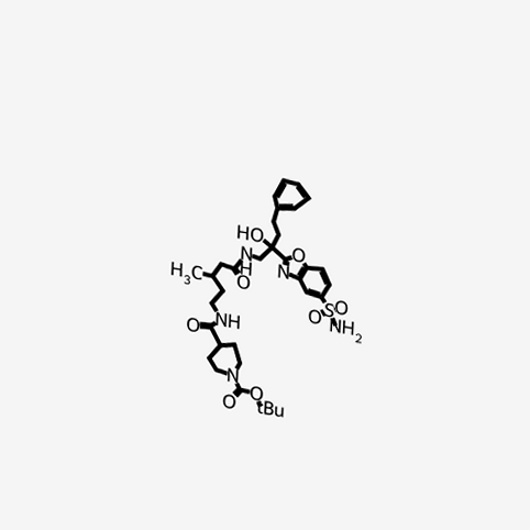 CC(CCNC(=O)C1CCN(C(=O)OC(C)(C)C)CC1)CC(=O)NCC(O)(CCc1ccccc1)c1nc2cc(S(N)(=O)=O)ccc2o1